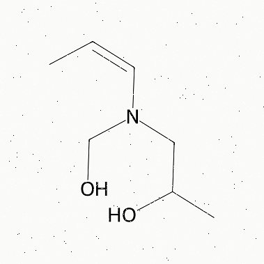 C/C=C\N(CO)CC(C)O